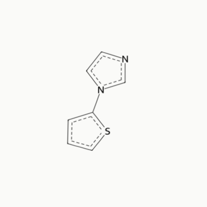 c1csc(-n2ccnc2)c1